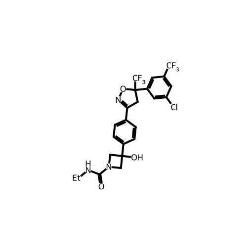 CCNC(=O)N1CC(O)(c2ccc(C3=NOC(c4cc(Cl)cc(C(F)(F)F)c4)(C(F)(F)F)C3)cc2)C1